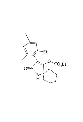 CCOC(=O)OC1=C(c2c(C)cc(C)cc2CC)C(=O)NC12CCCCC2